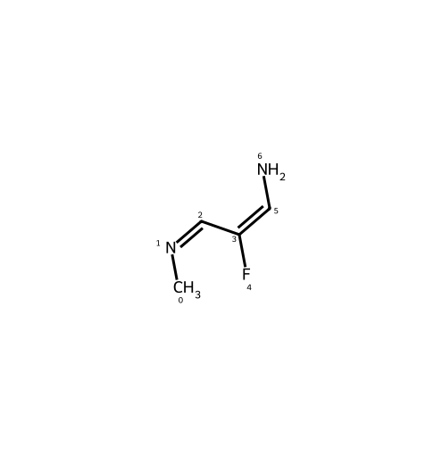 C/N=C\C(F)=C/N